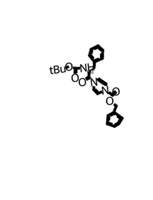 CC(C)(C)OC(=O)N[C@@H](Cc1ccccc1)C(=O)N1C=CN(C(=O)OCc2ccccc2)C=C1